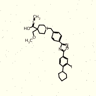 C=C=C(O)C1(COC)CCN(Cc2ccc(-c3noc(-c4ccc(C5CCCCC5)c(I)c4)n3)cc2)CC1